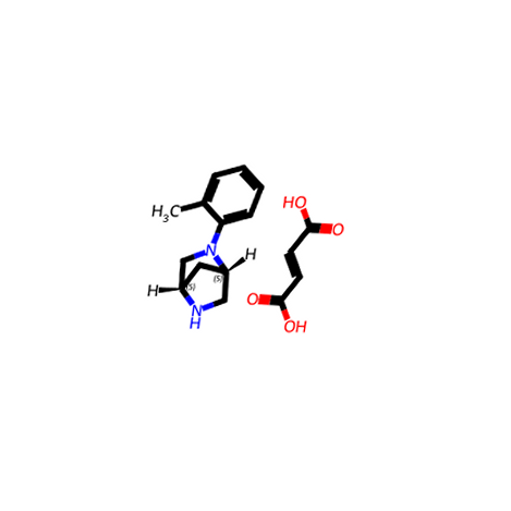 Cc1ccccc1N1C[C@@H]2C[C@H]1CN2.O=C(O)C=CC(=O)O